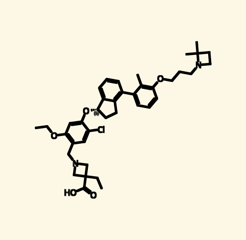 CCOc1cc(O[C@H]2CCc3c(-c4cccc(OCCCN5CCC5(C)C)c4C)cccc32)c(Cl)cc1CN1CC(CC)(C(=O)O)C1